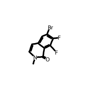 Cn1ccc2cc(Br)c(F)c(F)c2c1=O